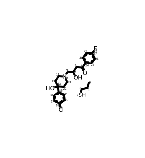 CCCS.O=C(CC(O)CN1CCC(O)(c2ccc(Cl)cc2)CC1)c1ccc(F)cc1